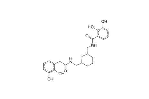 O=C(Cc1cccc(O)c1O)NCC1CCCC(CNC(=O)c2cccc(O)c2O)C1